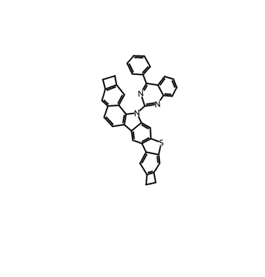 c1ccc(-c2nc(-n3c4cc5sc6cc7c(cc6c5cc4c4ccc5cc6c(cc5c43)CC6)CC7)nc3ccccc23)cc1